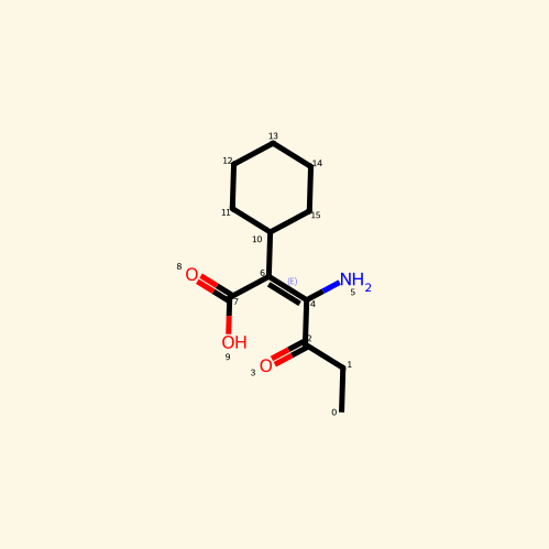 CCC(=O)/C(N)=C(\C(=O)O)C1CCCCC1